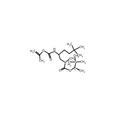 C=C(C)OC(=O)NC(CCC(C)(C)C)CN(C)C(=O)O[C@H](C)[Si](C)(C)C